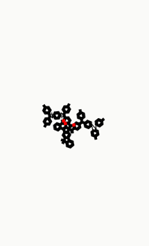 C=C(c1ccc(C(c2ccc(C)cc2)c2ccc(N(c3ccc(C)cc3)c3ccc(C)cc3)cc2)cc1)C1(C(=C)c2ccc(N(c3ccc(C)cc3)c3ccc(N(c4ccc(C)cc4)c4ccc(C)cc4)cc3)cc2)c2cc3c(cc2-c2c1cc(C)c1ccccc21)C(C)(C)c1ccccc1-3